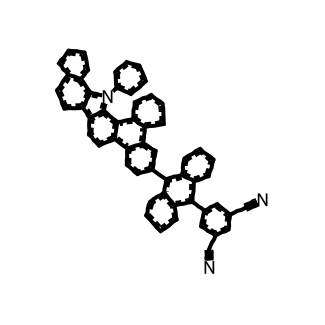 N#Cc1cc(C#N)cc(-c2c3ccccc3c(-c3ccc4c(c3)c3ccccc3c3c4ccc4c5ccc6ccccc6c5n(-c5ccccc5)c43)c3ccccc23)c1